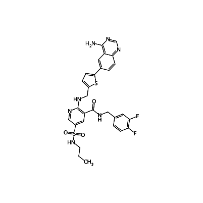 CCCNS(=O)(=O)c1cnc(NCc2ccc(-c3ccc4ncnc(N)c4c3)s2)c(C(=O)NCc2ccc(F)c(F)c2)c1